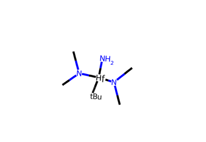 C[N](C)[Hf]([NH2])([N](C)C)[C](C)(C)C